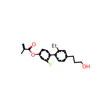 C=C(C)C(=O)Oc1ccc(-c2ccc(CCCO)cc2CC)c(F)c1